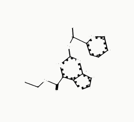 CCNC(=O)c1nc(NC(C)c2ccccn2)nc2ccsc12